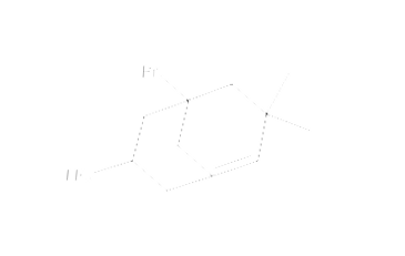 CC1(C)C=C2CC(O)CC(Br)(C2)C1